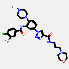 Cc1cc(C(=O)Nc2cc(-n3cc(C(=O)NCCCN4CCOCC4)nn3)ccc2N2CCN(C)CC2)ccc1F